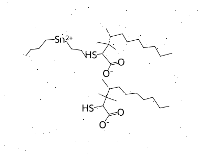 CCCCCCCC(C)C(C)(C)C(S)C(=O)[O-].CCCCCCCC(C)C(C)(C)C(S)C(=O)[O-].CCC[CH2][Sn+2][CH2]CCC